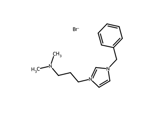 CN(C)CCC[n+]1ccn(Cc2ccccc2)c1.[Br-]